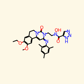 CCOc1cc2c(cc1OC)-c1c/c(=N\c3c(C)cc(C)cc3C)n(CCN(O)C(=O)c3cnn[nH]3)c(=O)n1CC2